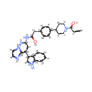 C=CC(=O)N1CCC(c2ccc(CC(=O)Nc3cc(-c4c[nH]c5ccccc45)c4nccn4n3)cc2)CC1